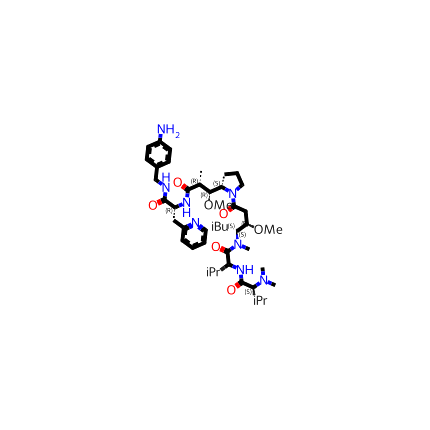 CC[C@H](C)[C@@H]([C@@H](CC(=O)N1CCC[C@H]1[C@H](OC)[C@@H](C)C(=O)N[C@H](Cc1ccccn1)C(=O)NCc1ccc(N)cc1)OC)N(C)C(=O)C(NC(=O)[C@H](C(C)C)N(C)C)C(C)C